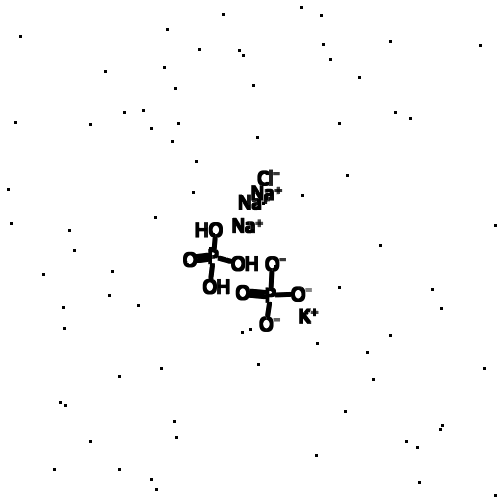 O=P(O)(O)O.O=P([O-])([O-])[O-].[Cl-].[K+].[Na+].[Na+].[Na+]